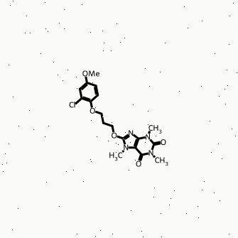 COc1ccc(OCCCOc2nc3c(c(=O)n(C)c(=O)n3C)n2C)c(Cl)c1